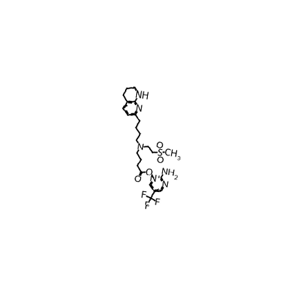 CS(=O)(=O)CCN(CCCCc1ccc2c(n1)NCCC2)CCCC(=O)O[n+]1cc(C(F)(F)F)cnc1N